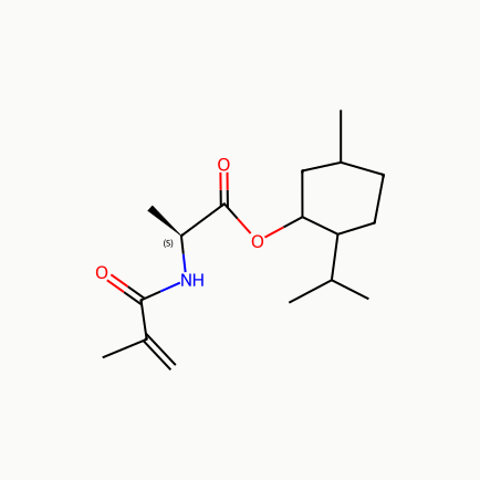 C=C(C)C(=O)N[C@@H](C)C(=O)OC1CC(C)CCC1C(C)C